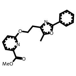 COC(=O)c1cccc(OCCc2nc(-c3ccccc3)oc2C)n1